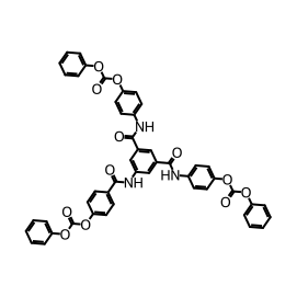 O=C(Oc1ccccc1)Oc1ccc(NC(=O)c2cc(NC(=O)c3ccc(OC(=O)Oc4ccccc4)cc3)cc(C(=O)Nc3ccc(OC(=O)Oc4ccccc4)cc3)c2)cc1